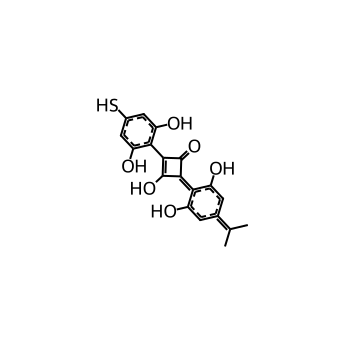 CC(C)=c1cc(O)c(=C2C(=O)C(c3c(O)cc(S)cc3O)=C2O)c(O)c1